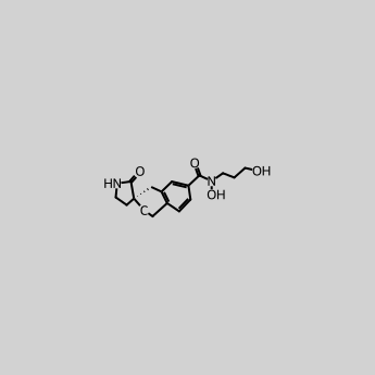 O=C(c1ccc2c(c1)C[C@@]1(CCNC1=O)CC2)N(O)CCCO